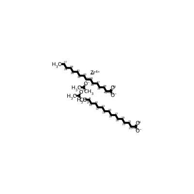 CC(C)[O-].CC(C)[O-].CCCCCCCCCCCCCCCC(=O)[O-].CCCCCCCCCCCCCCCC(=O)[O-].[Zr+4]